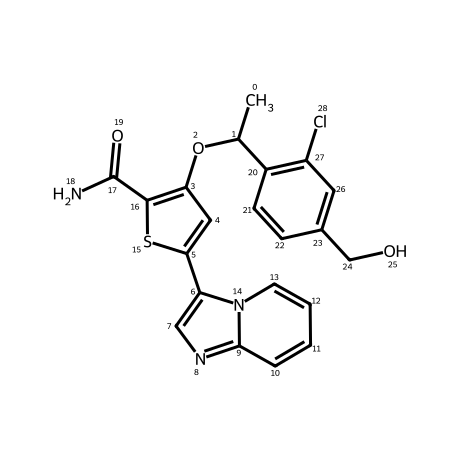 CC(Oc1cc(-c2cnc3ccccn23)sc1C(N)=O)c1ccc(CO)cc1Cl